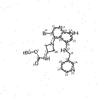 CC(C)(C)OC(=O)NC1CN(c2c(Br)cnc3[nH]cc(NCc4cccnc4)c23)C1